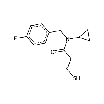 O=C(CSS)N(Cc1ccc(F)cc1)C1CC1